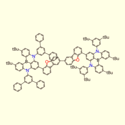 CC(C)(C)c1cc(N2c3ccc(C(C)(C)C)cc3B3c4cc(C(C)(C)C)ccc4N(c4cc(C(C)(C)C)cc(C(C)(C)C)c4)c4cc(-c5cccc6c5oc5ccc(-c7ccc8oc9c(-c%10cc%11c%12c(c%10)N(c%10cc(-c%13ccccc%13)cc(-c%13ccccc%13)c%10)c%10ccc(C(C)(C)C)cc%10B%12c%10cc(C(C)(C)C)ccc%10N%11c%10cc(-c%11ccccc%11)cc(-c%11ccccc%11)c%10)cccc9c8c7)cc56)cc2c43)cc(C(C)(C)C)c1